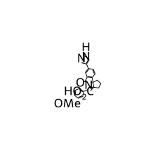 COc1cccc(CN2C(=O)c3cc(-c4cn[nH]c4)ccc3C23CCCC3C(=O)O)c1